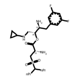 CCCC(CCC)S(=O)(=O)C[C@@H](N)C(=O)O[C@H](CNC1CC1)[C@@H](N)Cc1cc(F)cc(F)c1